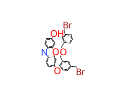 BrCc1cccc(COCc2cccc(CBr)c2)c1.O=c1ccc2nc3ccc(O)cc3oc-2c1